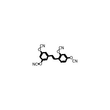 N#COc1cc(C=Cc2ccc(OC#N)cc2OC#N)cc(OC#N)c1